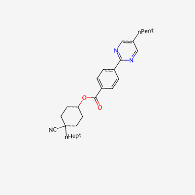 CCCCCCCC1(C#N)CCC(OC(=O)c2ccc(-c3ncc(CCCCC)cn3)cc2)CC1